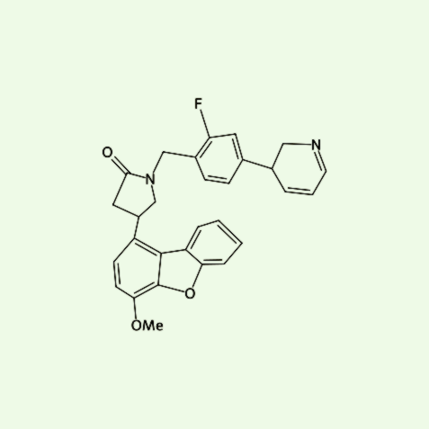 COc1ccc(C2CC(=O)N(Cc3ccc(C4C=CC=NC4)cc3F)C2)c2c1oc1ccccc12